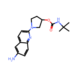 CC(C)(C)NC(=O)OC1CCN(c2ccc3cc(N)ccc3n2)C1